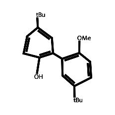 COc1ccc(C(C)(C)C)cc1-c1cc(C(C)(C)C)ccc1O